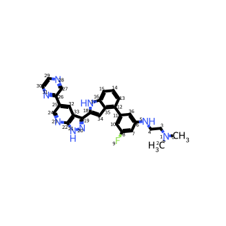 CN(C)CCNc1cc(F)cc(-c2cccc3[nH]c(-c4n[nH]c5ncc(-c6cnccn6)cc45)cc23)c1